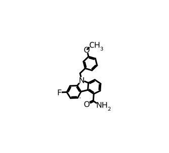 COc1cccc(Cn2c3cc(F)c[c]c3c3c(C(N)=O)cccc32)c1